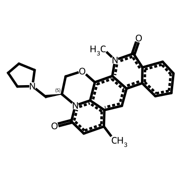 Cc1cc(=O)n2c3c(c4c(cc13)c1ccccc1c(=O)n4C)OC[C@@H]2CN1CCCC1